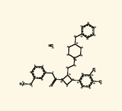 COc1cccc(CC(=O)N2CC(c3ccc(Cl)c(Cl)c3)C2CCN2CCC(Cc3ccccc3)CC2)c1.Cl